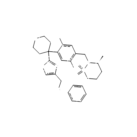 C[C@H]1CC[C@H](c2ccccc2)S(=O)(=O)N1Cc1cc(F)c(C2(c3nc(CO)co3)CCOCC2)cc1F